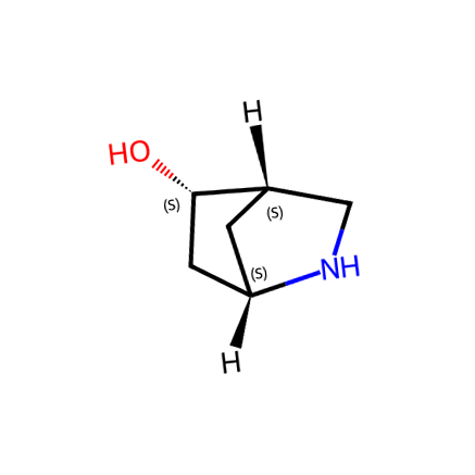 O[C@H]1C[C@@H]2C[C@H]1CN2